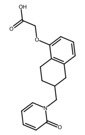 O=C(O)COc1cccc2c1CCC(Cn1ccccc1=O)C2